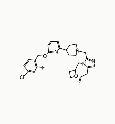 C=CCc1cnc(CN2CCC(c3cccc(OCc4ccc(Cl)cc4F)n3)CC2)n1CC1CCO1